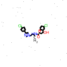 C=C(CCn1cnc(-c2ccc(Cl)cc2)c1)NC(=O)[C@H]1C[C@@H](O)c2cc(Cl)ccc2O1